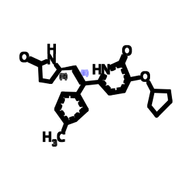 Cc1ccc(/C(=C\[C@H]2CCC(=O)N2)c2ccc(OC3CCCC3)c(=O)[nH]2)cc1